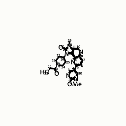 COc1ncc(-c2ccc3ncc4c(c3n2)n(C2CCN(C(=O)CO)CC2)c(=O)n4C)cn1